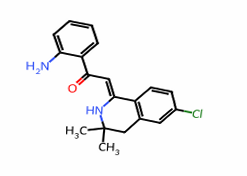 CC1(C)Cc2cc(Cl)ccc2/C(=C/C(=O)c2ccccc2N)N1